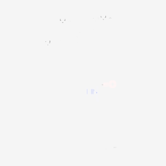 CCCCCCCCCCCCCCNC(=O)CCc1cc(OC)c(OC)c(OC)c1